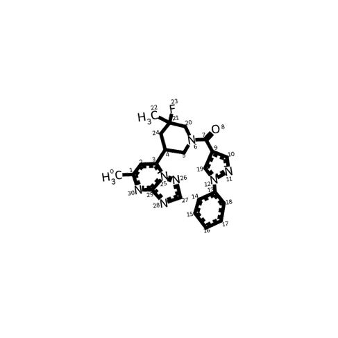 Cc1cc(C2CN(C(=O)c3cnn(-c4ccccc4)c3)CC(C)(F)C2)n2ncnc2n1